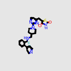 O=C1NC(=O)/C(=C\c2ccnc(N3CCC(CNCc4ccccc4-c4ccncc4F)CC3)n2)S1